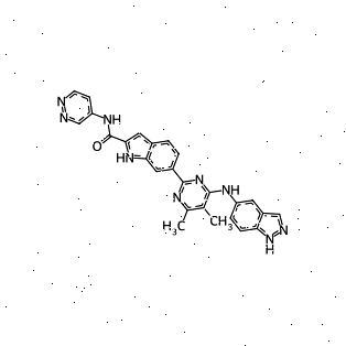 Cc1nc(-c2ccc3cc(C(=O)Nc4ccnnc4)[nH]c3c2)nc(Nc2ccc3[nH]ncc3c2)c1C